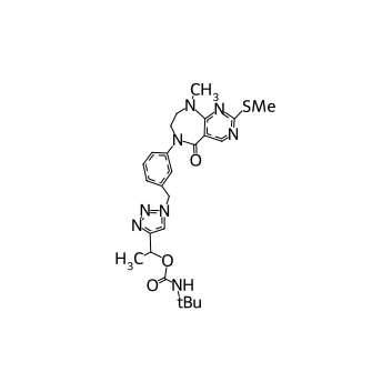 CSc1ncc2c(n1)N(C)CCN(c1cccc(Cn3cc(C(C)OC(=O)NC(C)(C)C)nn3)c1)C2=O